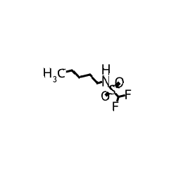 CCCCCNS(=O)(=O)C(F)F